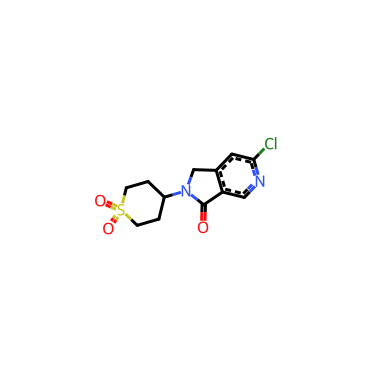 O=C1c2cnc(Cl)cc2CN1C1CCS(=O)(=O)CC1